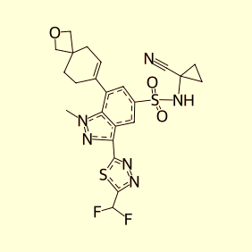 Cn1nc(-c2nnc(C(F)F)s2)c2cc(S(=O)(=O)NC3(C#N)CC3)cc(C3=CCC4(CC3)COC4)c21